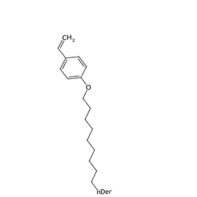 C=Cc1ccc(OCCCCCCCCCCCCCCCCCCC)cc1